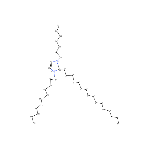 CCCCCCCCCCCCCCCCC1N(CCCCCCC)C=CN1CCCCCCCCCCC